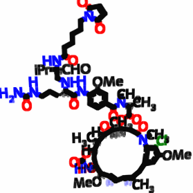 COc1cc(C(=O)N(C)[C@@H](C)C(=O)O[C@H]2CC(=O)N(C)c3cc(cc(OC)c3Cl)C/C(C)=C/C=C/[C@@H](OC)[C@@]3(O)C[C@H](OC(=O)N3)[C@@H](C)[C@@H]3O[C@@]23C)ccc1NC(=O)[C@H](CCCNC(N)=O)NC[C@](C=O)(NC(=O)CCCCCN1C(=O)C=CC1=O)C(C)C